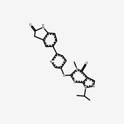 CC(C)n1ncc2c(=O)n(C)c(Oc3ccc(-c4ccc5c(c4)CC(=O)N5)nc3)nc21